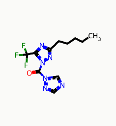 CCCCCc1nc(C(F)(F)F)n(C(=O)n2cncn2)n1